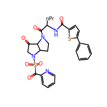 CCCC(NC(=O)c1ccc(-c2ccccc2)s1)C(=O)N1CCC2C1C(=O)CN2S(=O)(=O)C(=O)c1ccccn1